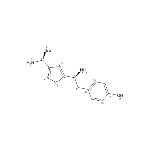 CCC(C)[C@H](N)c1noc([C@@H](N)Cc2ccc(O)cc2)n1